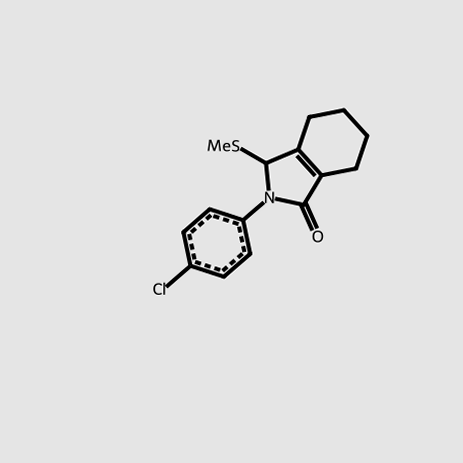 CSC1C2=C(CCCC2)C(=O)N1c1ccc(Cl)cc1